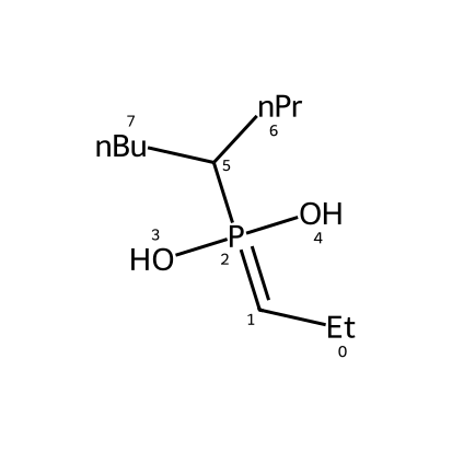 CCC=P(O)(O)C(CCC)CCCC